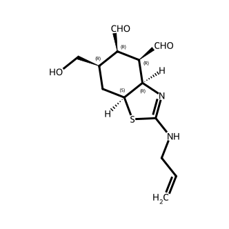 C=CCNC1=N[C@@H]2[C@H](C=O)[C@H](C=O)[C@H](CO)C[C@@H]2S1